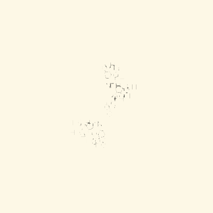 COc1ccc(C2c3c(cc(OC)c(OC)c3OC)CC[N+]2(C)CCCOC(=O)/C=C\C(=O)OCCC[N+]2(C)CCc3cc(OC)c(OC)c(OC)c3C2Cc2cc(OC)c(OC)c(OC)c2)cc1OC